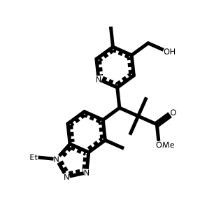 CCn1nnc2c(C)c(C(c3cc(CO)c(C)cn3)C(C)(C)C(=O)OC)ccc21